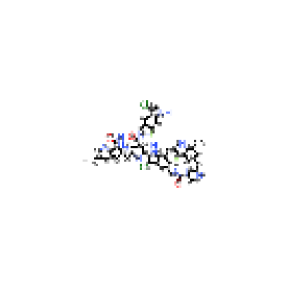 Cc1cnc2c(C#N)cc(Cc3cc(C(=O)NCc4cc5c(Cl)c(-c6cc(C(=O)NCc7cc8c(Cl)c[nH]c8cc7F)cc(Cc7cc(C(N)=O)c8ncc(C)cc8c7)n6)[nH]c5cc4F)ccn3)cc2c1